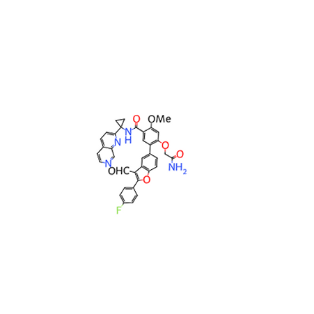 COc1cc(OCC(N)=O)c(-c2ccc3oc(-c4ccc(F)cc4)c(C=O)c3c2)cc1C(=O)NC1(c2ccc3ccncc3n2)CC1